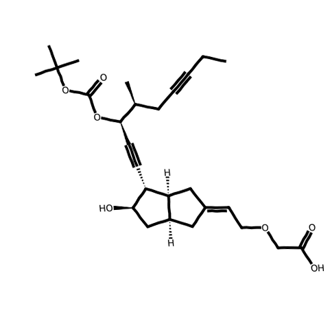 CCC#CC[C@H](C)[C@@H](C#C[C@@H]1[C@H]2C/C(=C/COCC(=O)O)C[C@H]2C[C@H]1O)OC(=O)OC(C)(C)C